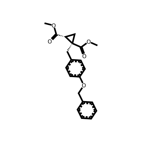 COC(=O)[C@@H]1C[C@@]1(Cc1ccc(OCc2ccccc2)cc1)C(=O)OC